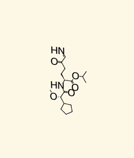 CO[C@H](C(=O)N[C@@H](CCC(=O)C=N)C(=O)OC(C)C)C1CCCC1